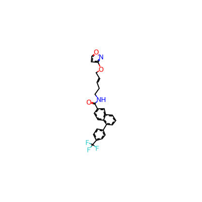 O=C(NCC/C=C/COc1ccon1)c1ccc2c(-c3ccc(C(F)(F)F)cc3)cccc2c1